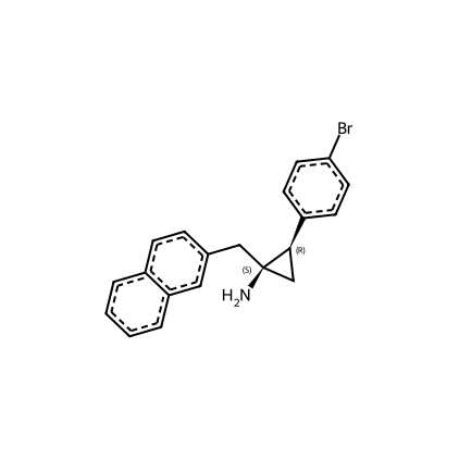 N[C@]1(Cc2ccc3ccccc3c2)C[C@@H]1c1ccc(Br)cc1